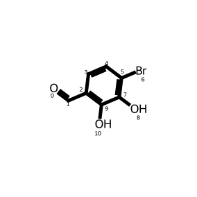 O=Cc1ccc(Br)c(O)c1O